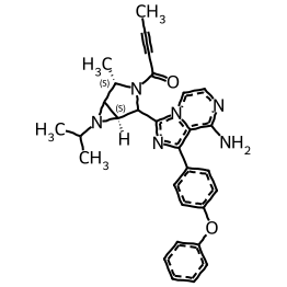 CC#CC(=O)N1C(c2nc(-c3ccc(Oc4ccccc4)cc3)c3c(N)nccn23)[C@@H]2C([C@@H]1C)N2C(C)C